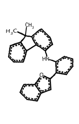 CC1(C)c2ccccc2-c2c(Nc3ccccc3-c3cc4ccccc4o3)cccc21